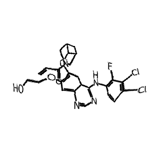 C=CC(=O)N1CC2CC(C1)C2OC1=C(OCCO)C=C2N=CN=C(Nc3ccc(Cl)c(Cl)c3F)C2C1